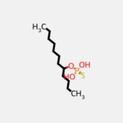 CCCCCCCC(CCCC)OP(O)(O)=S